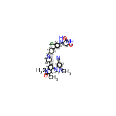 Cc1cc2c(N3CCN(C)c4ccc(C#N)cc43)cc(C3CCN(CC4CCC(c5ccc(NC6CCC(=O)NC6=O)cc5F)CC4)CC3)cc2n(C)c1=O